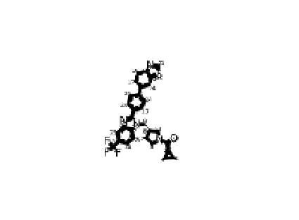 O=C(C1CC1)N1CC[C@H](Cn2c(-c3ccc(-c4ccc5ncsc5c4)cc3)nc3cc(C(F)(F)F)ccc32)C1